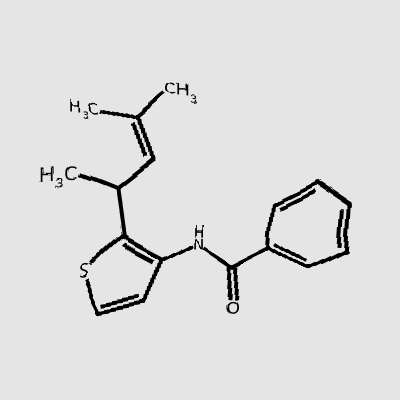 CC(C)=CC(C)c1sccc1NC(=O)c1ccccc1